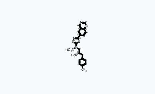 N[C@H](Cc1ccc(C(F)(F)F)cc1)CN(C(=O)O)c1nnc(-c2ccc3ncncc3c2)s1